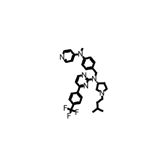 CC(C)CCN1CC[C@H](N(Cc2ccc(N(C)c3ccncc3)cc2)c2nccc(-c3ccc(C(F)(F)F)cc3)n2)C1